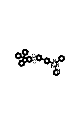 c1ccc(-c2nc(-c3ccc(-c4ccc5c(c4)Oc4cc6c(cc4O5)C(c4ccccc4)(c4ccccc4)c4ccccc4-6)cc3)nc(-c3ccccn3)n2)cc1